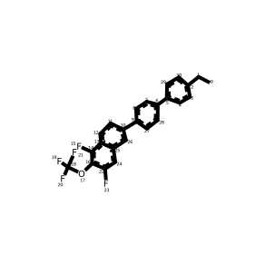 CCc1ccc(-c2ccc(-c3ccc4c(F)c(OC(F)(F)F)c(F)cc4c3)cc2)cc1